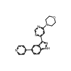 c1cc(-c2ccc3[nH]nc(-c4cc(N5CCOCC5)ncn4)c3c2)ccn1